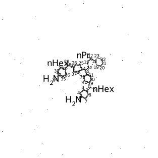 CCCCCCC(c1ccc(N)cc1)c1ccc(C(CCC(CCC)C2CCCCC2)c2ccc(C(CCCCCC)c3ccc(N)cc3)cc2)cc1